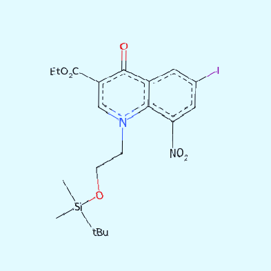 CCOC(=O)c1cn(CCO[Si](C)(C)C(C)(C)C)c2c([N+](=O)[O-])cc(I)cc2c1=O